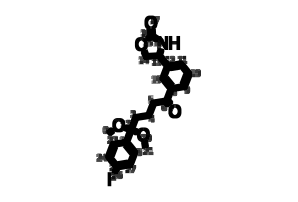 COC(CCCC(=O)c1cccc(C2COC(=O)N2)c1)(OC)c1ccc(F)cc1